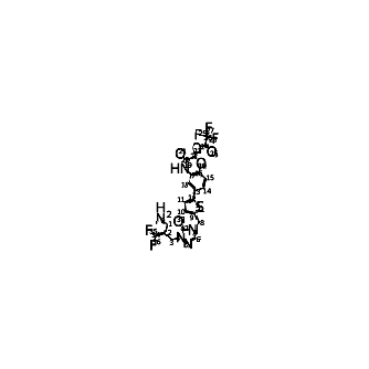 NCC(Cn1ncn(Cc2ccc(-c3ccc4c(c3)NC(=O)C(OC(=O)C(F)(F)F)O4)s2)c1=O)=C(F)F